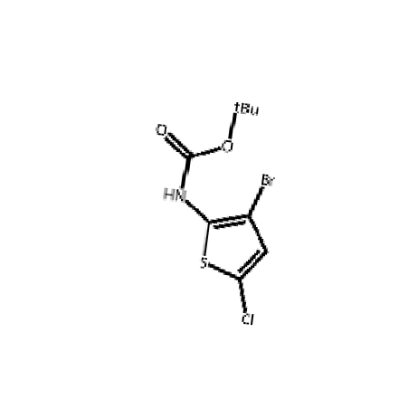 CC(C)(C)OC(=O)Nc1sc(Cl)cc1Br